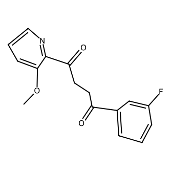 COc1cccnc1C(=O)CCC(=O)c1cccc(F)c1